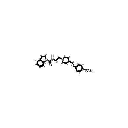 CSc1ccc(OCC2CCN(CCNC(=O)N3CCc4ccccc43)CC2)cc1